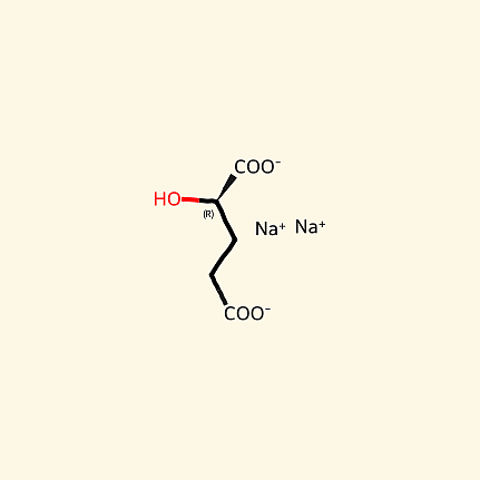 O=C([O-])CC[C@@H](O)C(=O)[O-].[Na+].[Na+]